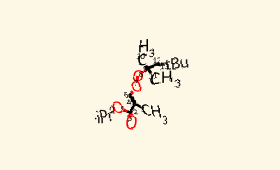 C[C](C)OC(=O)C(C)=COOC(C)(C)CC(C)(C)C